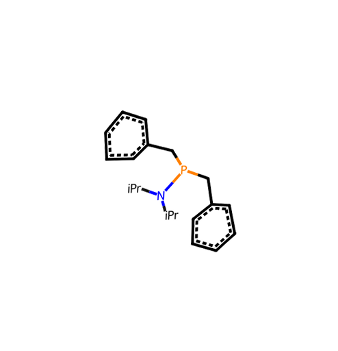 CC(C)N(C(C)C)P(Cc1ccccc1)Cc1ccccc1